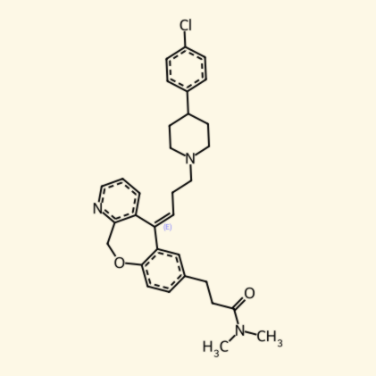 CN(C)C(=O)CCc1ccc2c(c1)/C(=C/CCN1CCC(c3ccc(Cl)cc3)CC1)c1cccnc1CO2